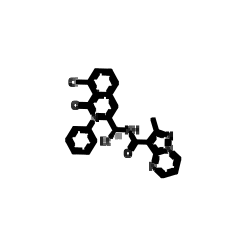 CC[C@H](NC(=O)c1c(C)nn2cccnc12)c1cc2cccc(Cl)c2c(=O)n1-c1ccccc1